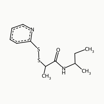 CCC(C)NC(=O)C(C)SSc1ccccn1